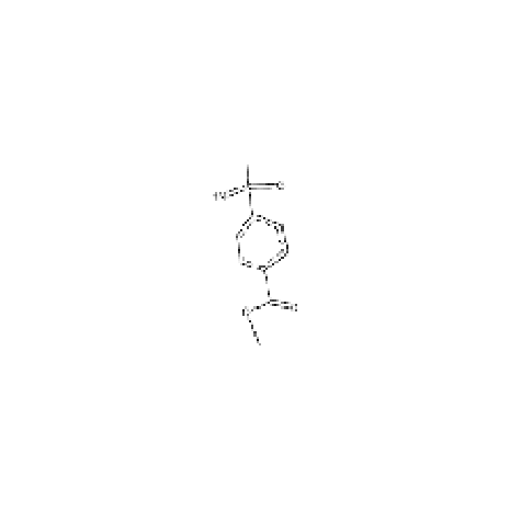 COC(=O)c1ccc(S(C)(=N)=O)cc1